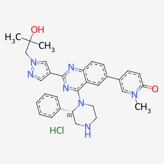 Cl.Cn1cc(-c2ccc3nc(-c4cnn(CC(C)(C)O)c4)nc(N4CCNC[C@@H]4c4ccccc4)c3c2)ccc1=O